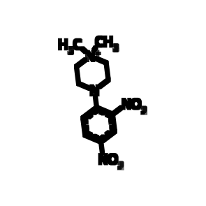 C[N+]1(C)CCN(c2ccc([N+](=O)[O-])cc2[N+](=O)[O-])CC1